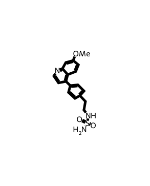 COc1ccc2c(-c3ccc(CCNS(N)(=O)=O)cc3)ccnc2c1